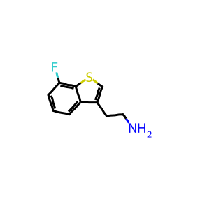 NCCc1csc2c(F)cccc12